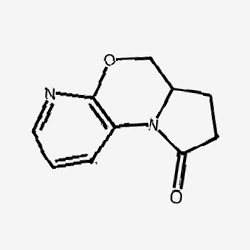 O=C1CCC2COc3ncc[c]c3N12